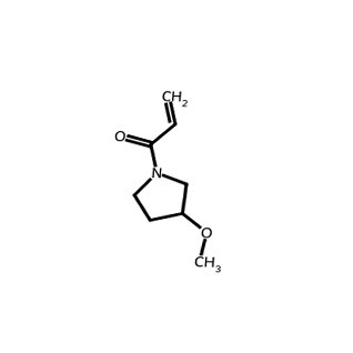 C=CC(=O)N1CCC(OC)C1